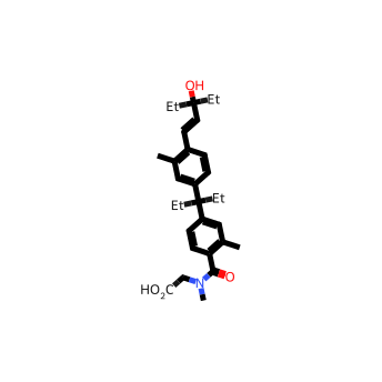 CCC(O)(/C=C/c1ccc(C(CC)(CC)c2ccc(C(=O)N(C)CC(=O)O)c(C)c2)cc1C)CC